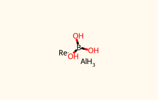 OB(O)O.[AlH3].[Re]